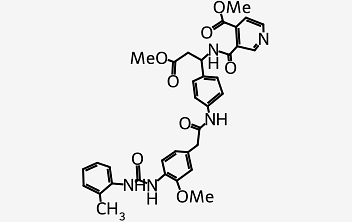 COC(=O)CC(NC(=O)c1cnccc1C(=O)OC)c1ccc(NC(=O)Cc2ccc(NC(=O)Nc3ccccc3C)c(OC)c2)cc1